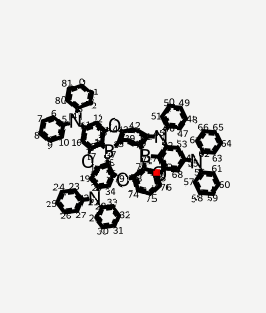 c1ccc(N(c2ccccc2)c2cc3c4c(c2)Oc2cc(N(c5ccccc5)c5ccccc5)cc5c2B4c2cc4c(cc2O3)N(c2ccccc2)c2cc(N(c3ccccc3)c3ccccc3)cc3c2B4c2c(cccc2O3)O5)cc1